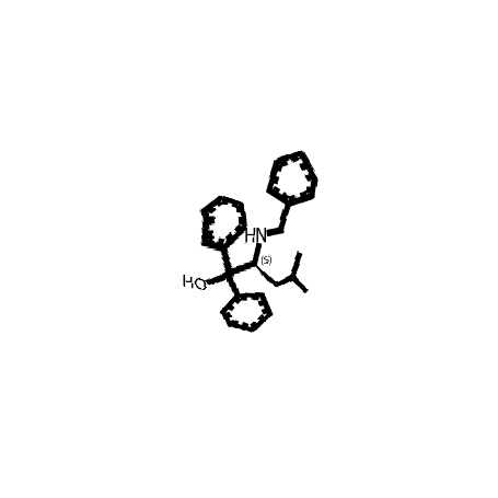 CC(C)C[C@H](NCc1ccccc1)C(O)(c1ccccc1)c1ccccc1